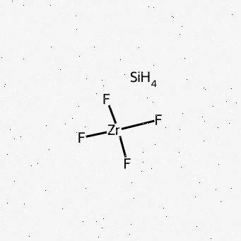 [F][Zr]([F])([F])[F].[SiH4]